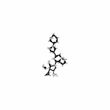 C[C@@H]1CN(c2nc(-c3cnn(-c4cccnc4)c3)cn3nccc23)C(=O)[C@]1(C#N)C1CC1